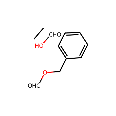 CC.O=CO.O=COCc1ccccc1